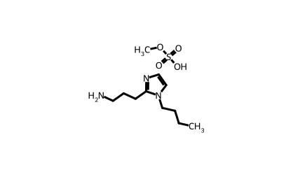 CCCCn1ccnc1CCCN.COS(=O)(=O)O